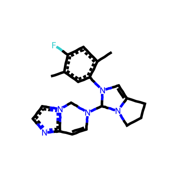 Cc1cc(N2C=C3CCCN3C2N2C=Cc3nccn3C2)c(C)cc1F